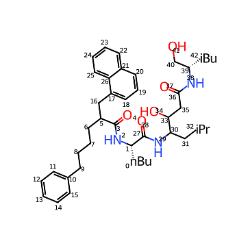 CCCC[C@H](NC(=O)C(CCCCc1ccccc1)Cc1cccc2ccccc12)C(=O)NC(CC(C)C)C(O)CC(=O)N[C@H](CO)C(C)CC